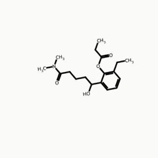 CCC(=O)Oc1c(CC)cccc1C(O)CCCC(=O)N(C)C